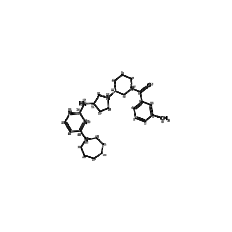 Cc1cccc(C(=O)N2CCCC(N3CCC(Nc4nccc(N5CCCCCC5)n4)C3)C2)c1